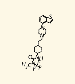 CN(C(=O)NC1CCC(CCN2CCN(c3cccc4sccc34)CC2)CC1)C(F)(F)F